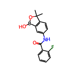 CC1(C)OB(O)c2cc(NC(=O)c3ccccc3F)ccc21